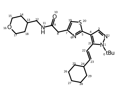 CC(C)(C)n1ncc(-c2nc(CC(=O)NCC3CCOCC3)cs2)c1/C=C/C1CCCCC1